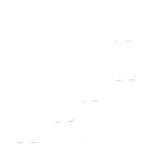 CCOC(=O)CCc1ccc(C)cc1